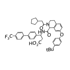 CC(C)(C)c1ccc(Oc2ccc3c(c2)C(C(=O)NC(CC(=O)O)c2ccc(-c4ccc(C(F)(F)F)cc4)cc2)N(C(=O)CC2CCCC2)CC3)cc1